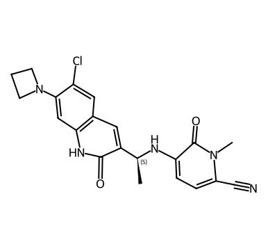 C[C@H](Nc1ccc(C#N)n(C)c1=O)c1cc2cc(Cl)c(N3CCC3)cc2[nH]c1=O